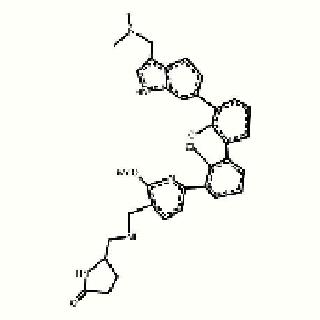 COc1nc(-c2cccc(-c3cccc(-c4ccc5c(CN(C)C)c[nH]c5c4)c3Cl)c2Cl)ccc1CNCC1CCC(=O)N1